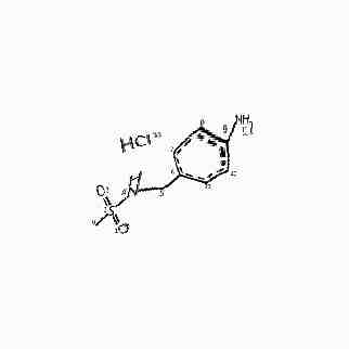 CS(=O)(=O)NCc1ccc(N)cc1.Cl